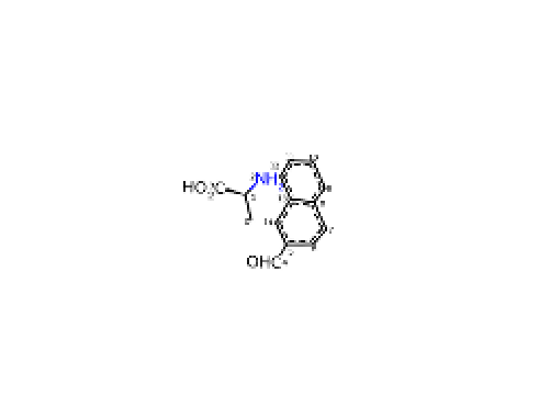 C[C@H](N)C(=O)O.O=Cc1ccc2ccccc2c1